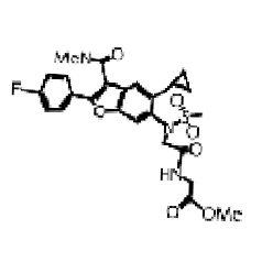 CNC(=O)c1c(-c2ccc(F)cc2)oc2cc(N(CC(=O)NCC(=O)OC)S(C)(=O)=O)c(C3CC3)cc12